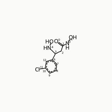 O=C(CC(NO)c1cccc(Cl)c1)NO